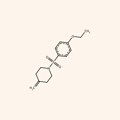 C=C1CCN(S(=O)(=O)c2ccc(OCC)cc2)CC1